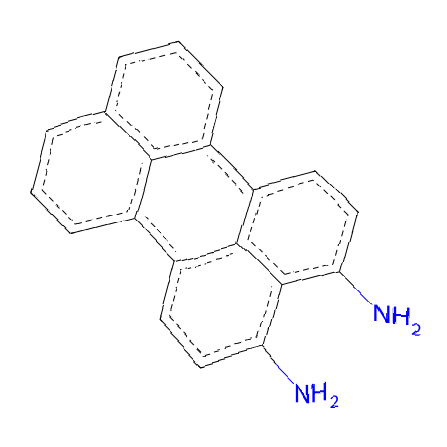 Nc1ccc2c3cccc4cccc(c5ccc(N)c1c25)c43